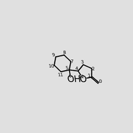 C=C1CCC(C2(O)CCCCC2)O1